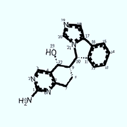 Nc1ncc2c(n1)CC[C@@H]([C@H]1c3ccccc3-c3cncn31)[C@H]2O